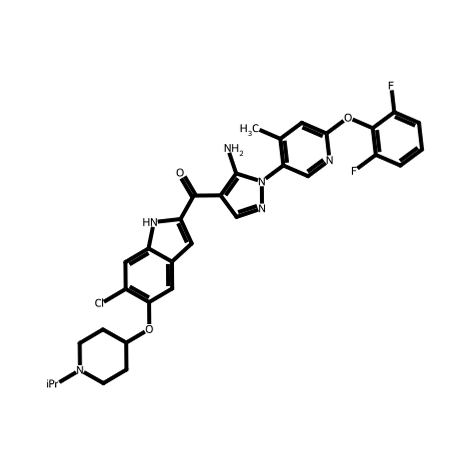 Cc1cc(Oc2c(F)cccc2F)ncc1-n1ncc(C(=O)c2cc3cc(OC4CCN(C(C)C)CC4)c(Cl)cc3[nH]2)c1N